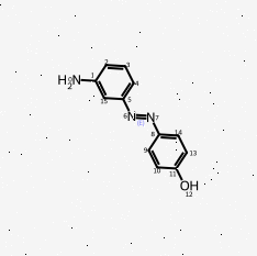 Nc1cccc(/N=N/c2ccc(O)cc2)c1